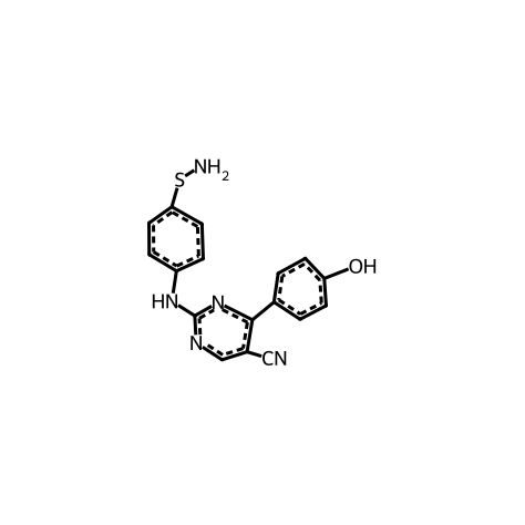 N#Cc1cnc(Nc2ccc(SN)cc2)nc1-c1ccc(O)cc1